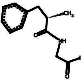 C[C@@H](Cc1ccccc1)C(=O)NCC(=O)I